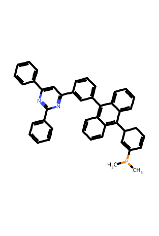 CP(C)C1=CC(c2c3ccccc3c(-c3cccc(-c4cc(-c5ccccc5)nc(-c5ccccc5)n4)c3)c3ccccc23)CC=C1